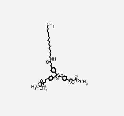 CCCCCCCCCCCCCCCCNC(=O)/C=C/c1ccc(-c2[nH]c(-c3ccc(-c4cc(C(=O)OCC)on4)cc3)nc2-c2ccc(/C=C/C(=O)OC(C)(C)C)cc2)cc1